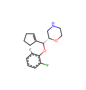 Fc1cccc(F)c1OC(C1=CCCC1)[C@@H]1CNCCO1